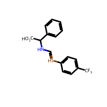 O=C(O)C(NC=[SH]c1ccc(C(F)(F)F)cc1)c1ccccc1